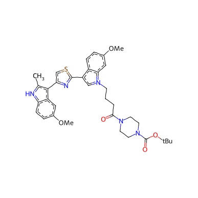 COc1ccc2[nH]c(C)c(-c3csc(-c4cn(CCCC(=O)N5CCN(C(=O)OC(C)(C)C)CC5)c5cc(OC)ccc45)n3)c2c1